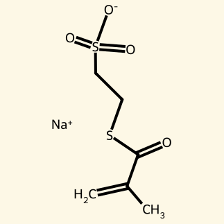 C=C(C)C(=O)SCCS(=O)(=O)[O-].[Na+]